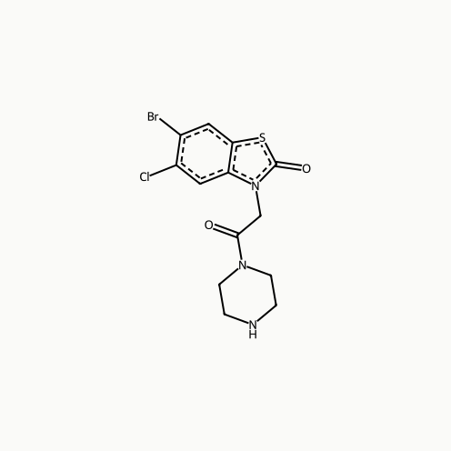 O=C(Cn1c(=O)sc2cc(Br)c(Cl)cc21)N1CCNCC1